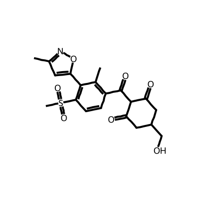 Cc1cc(-c2c(S(C)(=O)=O)ccc(C(=O)C3C(=O)CC(CO)CC3=O)c2C)on1